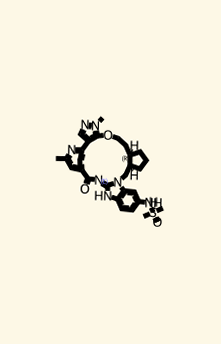 Cc1cc2cc(n1)-c1cnn(C)c1OCC[C@H]1CCC[C@H]1CN1/C(=N/C2=O)Nc2ccc(N[SH](C)(C)=O)cc21